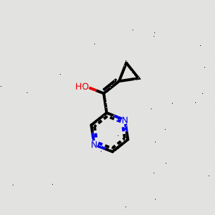 OC(=C1CC1)c1cnccn1